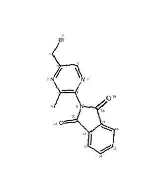 Cc1nc(CBr)cnc1N1C(=O)c2ccccc2C1=O